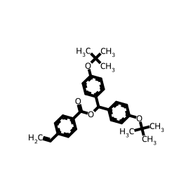 C=Cc1ccc(C(=O)OC(c2ccc(OC(C)(C)C)cc2)c2ccc(OC(C)(C)C)cc2)cc1